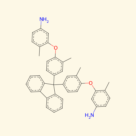 Cc1cc(C2(c3ccc(Oc4cc(N)ccc4C)c(C)c3)c3ccccc3-c3ccccc32)ccc1Oc1cc(N)ccc1C